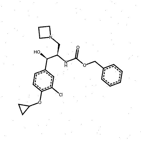 O=C(N[C@H](CN1CCC1)[C@H](O)c1ccc(OC2CC2)c(Cl)c1)OCc1ccccc1